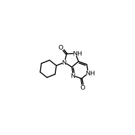 O=c1nc2c(c[nH]1)[nH]c(=O)n2C1CCCCC1